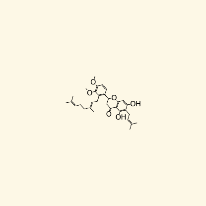 COc1ccc([C@@H]2CC(=O)c3c(cc(O)c(CC=C(C)C)c3O)O2)c(C/C=C(\C)CCC=C(C)C)c1OC